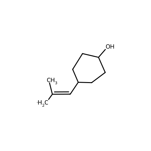 [CH2]C(C)=CC1CCC(O)CC1